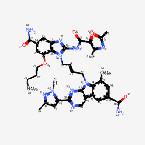 CCc1nc(C)oc1C(=O)Nc1nc2cc(C(N)=O)cc(OCCCNC)c2n1C/C=C/Cn1c2nc(-c3cc(C)nn3CC)ncc2c2cc(C(N)=O)cc(OC)c21